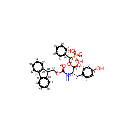 O=C(N[C@@H](Cc1ccc(O)cc1)C(=O)OC(c1ccccc1)P(=O)(O)O)OCC1c2ccccc2-c2ccccc21